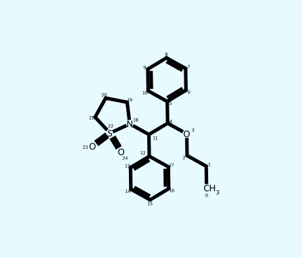 CCCOC(c1ccccc1)C(c1ccccc1)N1CCCS1(=O)=O